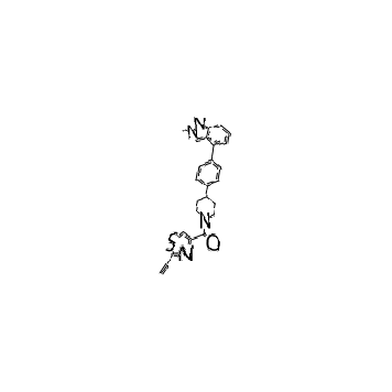 C#Cc1nc(C(=O)N2CCC(c3ccc(-c4cccc5nn(C)cc45)cc3)CC2)cs1